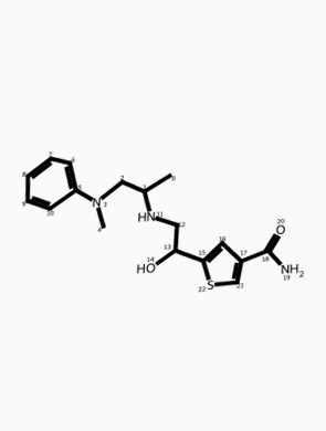 CC(CN(C)c1ccccc1)NCC(O)c1cc(C(N)=O)cs1